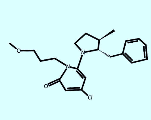 COCCCn1c(N2CC[C@@H](C)[C@@H]2Cc2ccccc2)cc(Cl)cc1=O